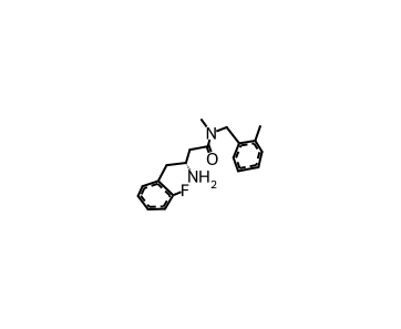 Cc1ccccc1CN(C)C(=O)C[C@H](N)Cc1ccccc1F